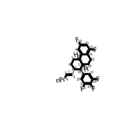 CCC/C=C/[C@@H]1CC[C@H]2c3cc(F)cc(F)c3CC[C@@H]2[C@H]1c1cc(F)c(F)c(F)c1